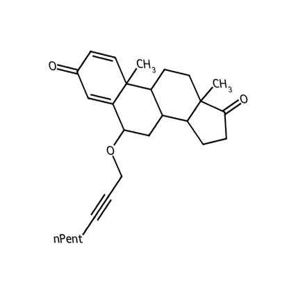 CCCCCC#CCOC1CC2C(CCC3(C)C(=O)CCC23)C2(C)C=CC(=O)C=C12